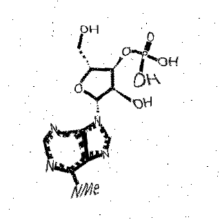 CNc1ncnc2c1ncn2[C@@H]1O[C@H](CO)[C@@H](OP(=O)(O)O)[C@H]1O